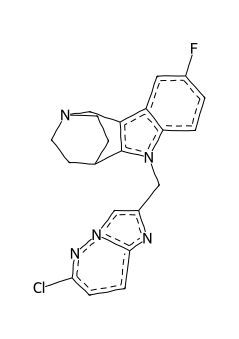 Fc1ccc2c(c1)c1c(n2Cc2cn3nc(Cl)ccc3n2)C2CCN(CC2)C1